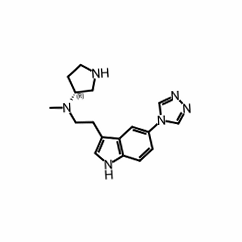 CN(CCc1c[nH]c2ccc(-n3cnnc3)cc12)[C@@H]1CCNC1